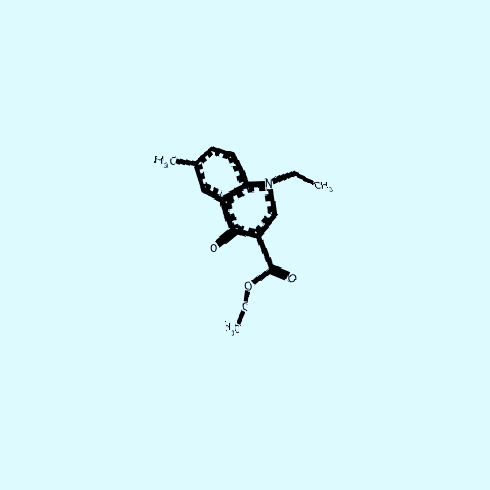 CCOC(=O)c1cn(CC)c2ccc(C)cc2c1=O